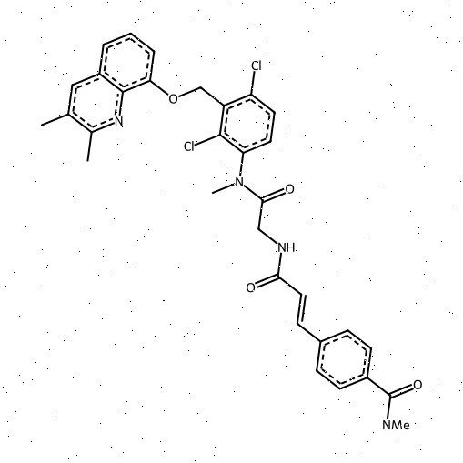 CNC(=O)c1ccc(/C=C/C(=O)NCC(=O)N(C)c2ccc(Cl)c(COc3cccc4cc(C)c(C)nc34)c2Cl)cc1